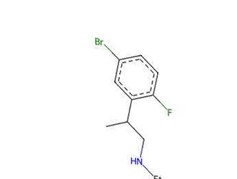 CCNCC(C)c1cc(Br)ccc1F